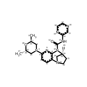 C[C@H]1CN(c2ccc3c(n2)N(C(=O)Nc2cnccn2)[C@H]2CCN3C2)C[C@H](C)O1